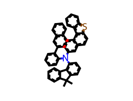 CC1(C)c2ccccc2-c2c(N(c3ccc4c(ccc5sc6ccccc6c54)c3)c3ccccc3-c3ccc4ccccc4c3)cccc21